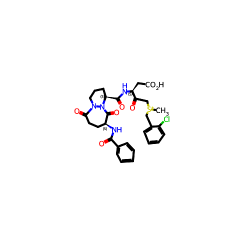 C[S+](CC(=O)[C@H](CC(=O)O)NC(=O)[C@@H]1CCCN2C(=O)CC[C@H](NC(=O)c3ccccc3)C(=O)N12)Cc1ccccc1Cl